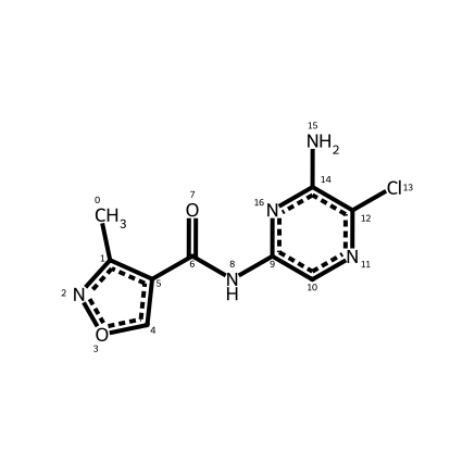 Cc1nocc1C(=O)Nc1cnc(Cl)c(N)n1